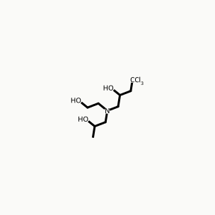 CC(O)CN(CCO)CC(O)CC(Cl)(Cl)Cl